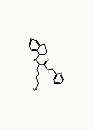 NCCCCC(NC1CCCc2cccnc21)C(=O)NCc1ccccn1